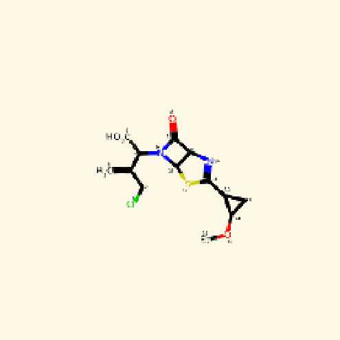 C=C(CCl)C(C(=O)O)N1C(=O)C2N=C(C3CC3OCC)SC21